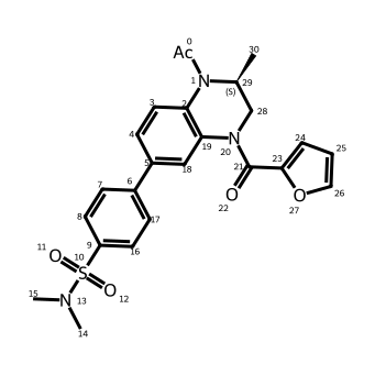 CC(=O)N1c2ccc(-c3ccc(S(=O)(=O)N(C)C)cc3)cc2N(C(=O)c2ccco2)C[C@@H]1C